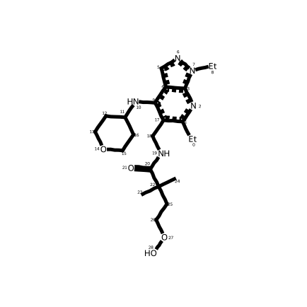 CCc1nc2c(cnn2CC)c(NC2CCOCC2)c1CNC(=O)C(C)(C)CCOO